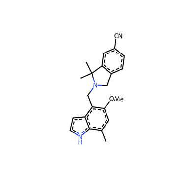 COc1cc(C)c2[nH]ccc2c1CN1Cc2ccc(C#N)cc2C1(C)C